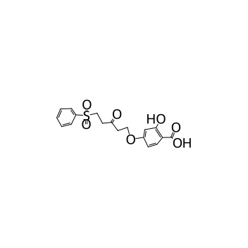 O=C(CCOc1ccc(C(=O)O)c(O)c1)CCS(=O)(=O)c1ccccc1